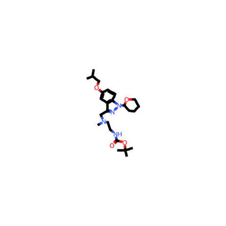 CC(C)COc1ccc2c(c1)c(CN(C)CCNC(=O)OC(C)(C)C)nn2C1CCCCO1